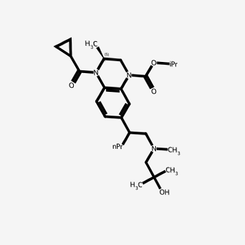 CCCC(CN(C)CC(C)(C)O)c1ccc2c(c1)N(C(=O)OC(C)C)C[C@H](C)N2C(=O)C1CC1